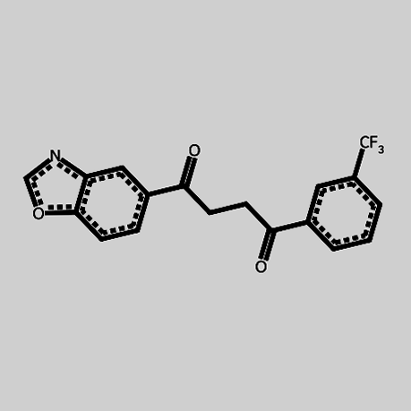 O=C(CCC(=O)c1ccc2ocnc2c1)c1cccc(C(F)(F)F)c1